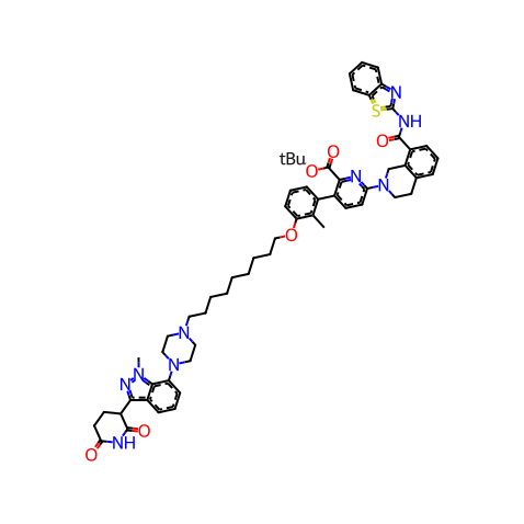 Cc1c(OCCCCCCCCCN2CCN(c3cccc4c(C5CCC(=O)NC5=O)nn(C)c34)CC2)cccc1-c1ccc(N2CCc3cccc(C(=O)Nc4nc5ccccc5s4)c3C2)nc1C(=O)OC(C)(C)C